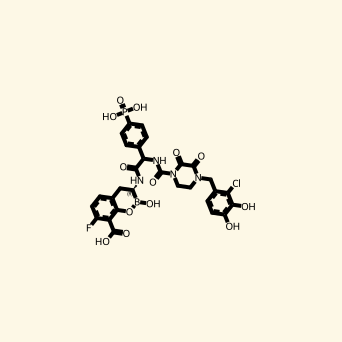 O=C(O)c1c(F)ccc2c1OB(O)[C@@H](NC(=O)C(NC(=O)N1CCN(Cc3ccc(O)c(O)c3Cl)C(=O)C1=O)c1ccc(P(=O)(O)O)cc1)C2